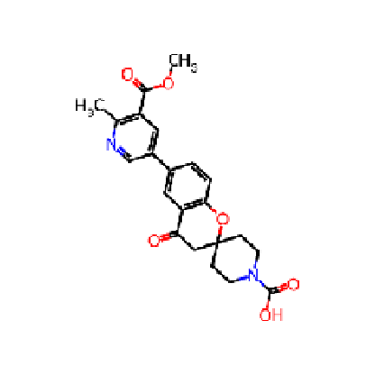 COC(=O)c1cc(-c2ccc3c(c2)C(=O)CC2(CCN(C(=O)O)CC2)O3)cnc1C